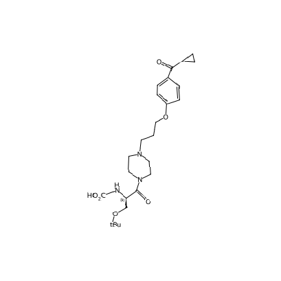 CC(C)(C)OC[C@@H](NC(=O)O)C(=O)N1CCN(CCCOc2ccc(C(=O)C3CC3)cc2)CC1